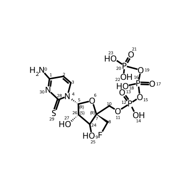 Nc1ccn([C@@H]2O[C@](CF)(COP(=O)(O)OP(=O)(O)OP(=O)(O)O)C(O)[C@@H]2O)c(=S)n1